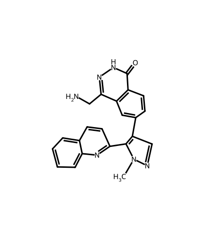 Cn1ncc(-c2ccc3c(=O)[nH]nc(CN)c3c2)c1-c1ccc2ccccc2n1